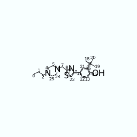 CCCN1CCN(Cc2nc(-c3ccc(O)c(C(C)(C)C)c3)cs2)CC1